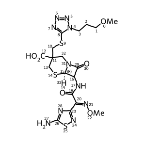 COCCCn1nnnc1SCC1(C(=O)O)CS[C@@H]2C(NC(=O)C(=NOC)c3nsc(N)n3)C(=O)N2C1